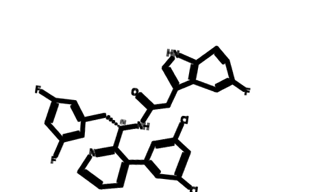 O=C(Cc1c[nH]c2ccc(F)cc12)N[C@@H](Cc1cc(F)cc(F)c1)c1ncccc1-c1cc(Cl)cc(Cl)c1